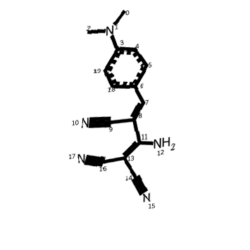 CN(C)c1ccc(C=C(C#N)C(N)=C(C#N)C#N)cc1